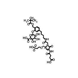 CC(C)(C)C(=O)OCc1ccc(CCCCNC(=O)CN2C(=O)[C@@H](NC(=O)CCC(=O)O)C[C@H]2COCCS(=O)(=O)O)cc1O[C@@H]1O[C@H](C(=O)O)[C@@H](O)[C@H](O)[C@H]1O